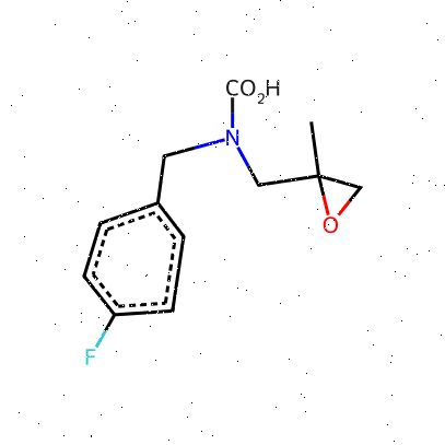 CC1(CN(Cc2ccc(F)cc2)C(=O)O)CO1